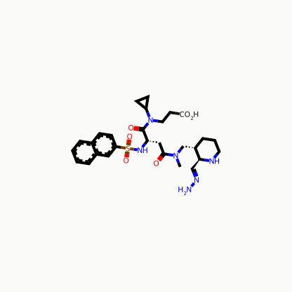 CN(C[C@@H]1CCCN[C@H]1C=NN)C(=O)C[C@H](NS(=O)(=O)c1ccc2ccccc2c1)C(=O)N(CCC(=O)O)C1CC1